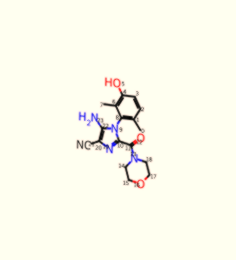 Cc1ccc(O)c(C)c1-n1c(C(=O)N2CCOCC2)nc(C#N)c1N